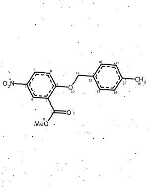 COC(=O)c1cc([N+](=O)[O-])ccc1OCc1ccc(C)cc1